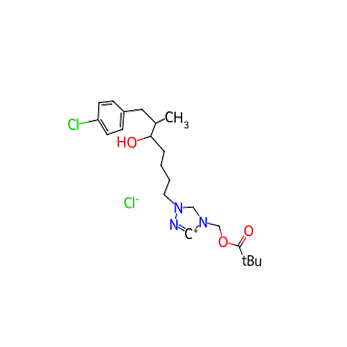 CC(Cc1ccc(Cl)cc1)C(O)CCCCN1CN(COC(=O)C(C)(C)C)[C+]=N1.[Cl-]